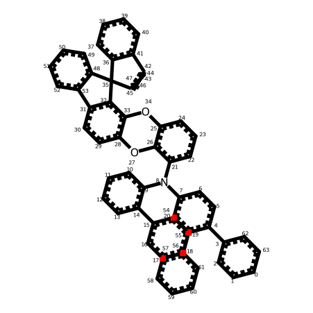 c1ccc(-c2ccc(N(c3ccccc3-c3ccccc3)c3cccc4c3Oc3ccc5c(c3O4)C3(c4ccccc4-c4ccccc43)c3ccccc3-5)cc2-c2ccccc2)cc1